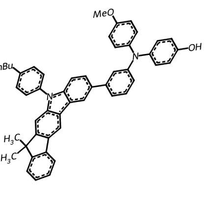 CCCCc1ccc(-n2c3ccc(-c4cccc(N(c5ccc(O)cc5)c5ccc(OC)cc5)c4)cc3c3cc4c(cc32)C(C)(C)c2ccccc2-4)cc1